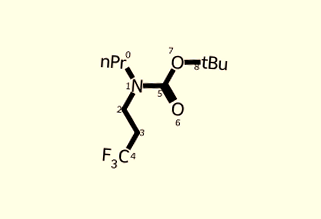 CCCN(CCC(F)(F)F)C(=O)OC(C)(C)C